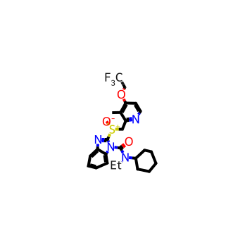 [CH2]CN(C(=O)n1c([S+]([O-])Cc2nccc(OCC(F)(F)F)c2C)nc2ccccc21)C1CCCCC1